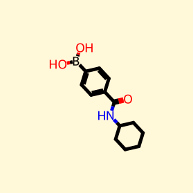 O=C(NC1CCCCC1)c1ccc(B(O)O)cc1